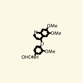 COc1cc2nccc(Oc3ccc(NC=O)cc3OC)c2cc1OC